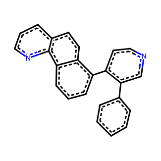 c1ccc(-c2cnccc2-c2cccc3c2ccc2cccnc23)cc1